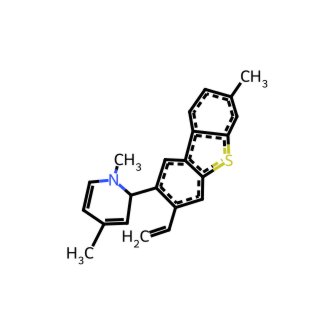 C=Cc1cc2sc3cc(C)ccc3c2cc1C1C=C(C)C=CN1C